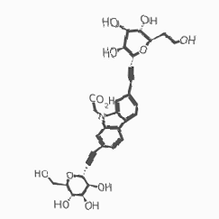 O=C(O)Cn1c2cc(C#C[C@H]3O[C@H](CO)[C@@H](O)[C@H](O)[C@@H]3O)ccc2c2ccc(C#C[C@H]3O[C@H](CCO)[C@@H](O)[C@H](O)[C@@H]3O)cc21